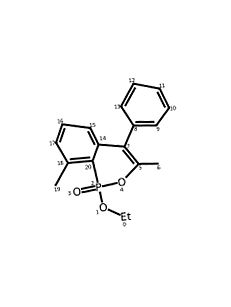 CCOP1(=O)OC(C)=C(c2ccccc2)c2cccc(C)c21